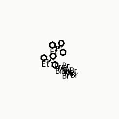 CC[P+](c1ccccc1)(c1ccccc1)c1ccccc1.CC[P+](c1ccccc1)(c1ccccc1)c1ccccc1.[Br][Mn-]([Br])([Br])[Br].[Br][Mn-]([Br])([Br])[Br]